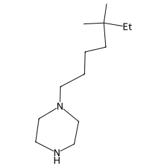 CCC(C)(C)CCCCN1CCNCC1